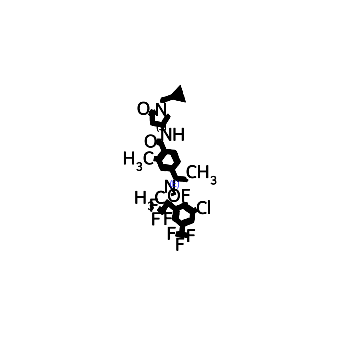 CC/C(=N\OC(C)(c1cc(C(F)(F)F)cc(Cl)c1F)C(F)(F)F)c1ccc(C(=O)N[C@H]2CC(=O)N(CC3CC3)C2)c(C)c1